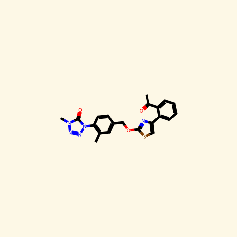 CC(=O)c1ccccc1-c1csc(OCc2ccc(-n3nnn(C)c3=O)c(C)c2)n1